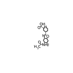 CC(=O)Nc1cc2nc(-c3ccnc(C(=O)O)c3)oc2cc1F